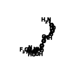 NCCc1ccc(Oc2ccc(OCCCNC(=O)c3ccc(-c4ccc(C(=O)NC[C@H]5OC[C@H](Nc6cncc(C(F)(F)F)n6)[C@@H](O)[C@H]5O)cc4)cc3)cc2)c(I)c1